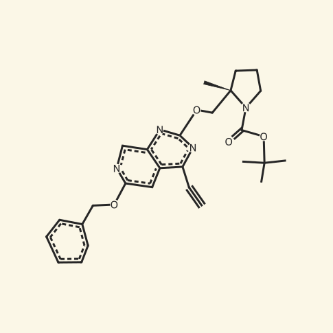 C#Cc1nc(OC[C@]2(C)CCCN2C(=O)OC(C)(C)C)nc2cnc(OCc3ccccc3)cc12